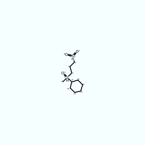 C[SH](=O)(CCC[SH](=O)=O)C1CCCCC1